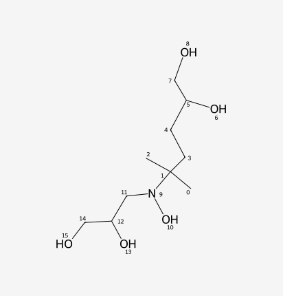 CC(C)(CCC(O)CO)N(O)CC(O)CO